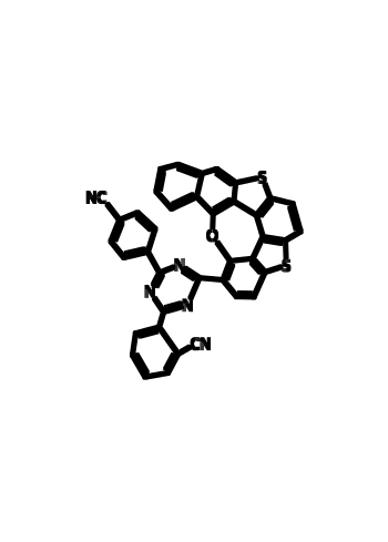 N#Cc1ccc(-c2nc(-c3ccccc3C#N)nc(-c3ccc4sc5ccc6sc7cc8ccccc8c8oc3c4c5c6c78)n2)cc1